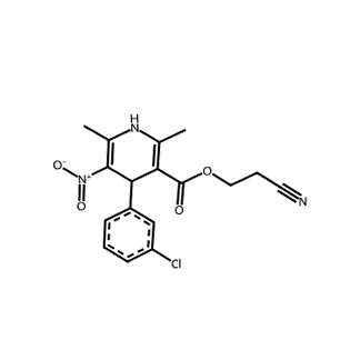 CC1=C(C(=O)OCCC#N)C(c2cccc(Cl)c2)C([N+](=O)[O-])=C(C)N1